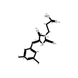 Cc1cc(C)cc(/C=C2\SC(=S)N(CCC(=O)O)C2=O)c1